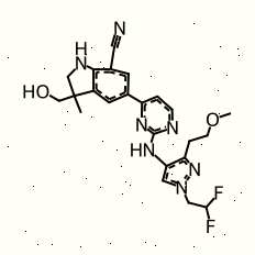 COCCc1nn(CC(F)F)cc1Nc1nccc(-c2cc(C#N)c3c(c2)C(C)(CO)CN3)n1